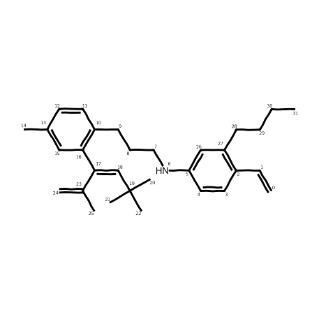 C=Cc1ccc(NCCCc2ccc(C)cc2/C(=C/C(C)(C)C)C(=C)C)cc1CCCC